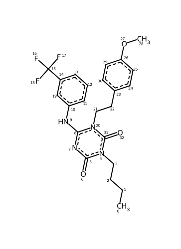 CCCCn1c(=O)nc(Nc2cccc(C(F)(F)F)c2)n(CCc2ccc(OC)cc2)c1=O